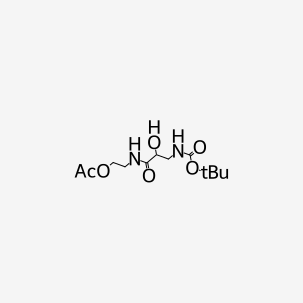 CC(=O)OCCNC(=O)C(O)CNC(=O)OC(C)(C)C